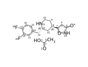 CC(=O)O.O=c1cc([C@@H]2CCN[C@@H](Cc3ccc(F)c(F)c3)C2)o[nH]1